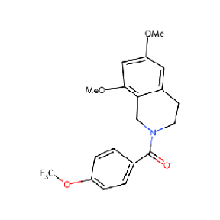 COc1cc2c(c(OC)c1)CN(C(=O)c1ccc(OC(F)(F)F)cc1)CC2